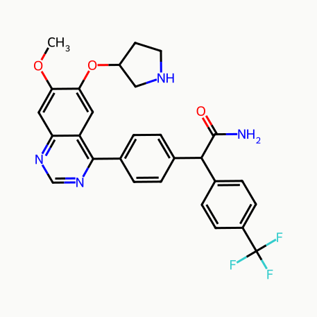 COc1cc2ncnc(-c3ccc(C(C(N)=O)c4ccc(C(F)(F)F)cc4)cc3)c2cc1OC1CCNC1